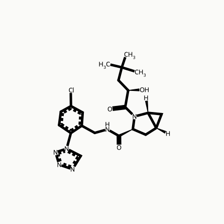 CC(C)(C)C[C@@H](O)C(=O)N1[C@@H]2C[C@@H]2C[C@H]1C(=O)NCc1cc(Cl)ccc1-n1cnnn1